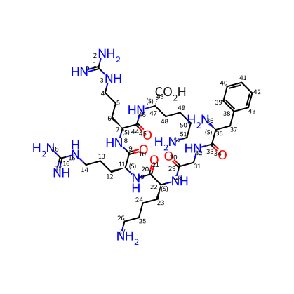 N=C(N)NCCC[C@H](NC(=O)[C@H](CCCNC(=N)N)NC(=O)[C@H](CCCCN)NC(=O)CNC(=O)[C@@H](N)Cc1ccccc1)C(=O)N[C@@H](CCCCN)C(=O)O